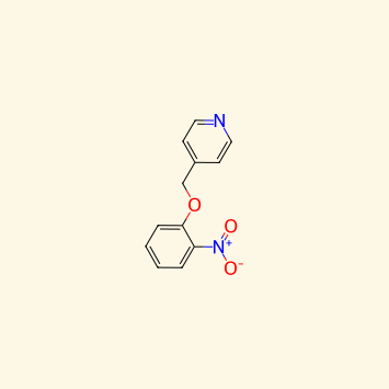 O=[N+]([O-])c1ccccc1OCc1ccncc1